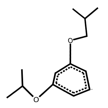 CC(C)COc1c[c]cc(OC(C)C)c1